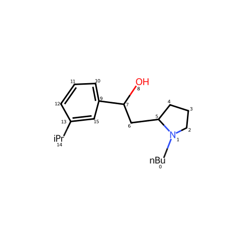 CCCCN1CCCC1CC(O)c1cccc(C(C)C)c1